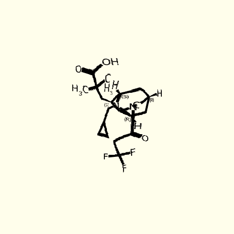 CC(C)(C[C@@H]1C2[C@H]3C[C@@H](C[C@@H]1N3CC1CC1)CN2C(=O)CC(F)(F)F)C(=O)O